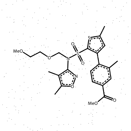 COCCOCN(c1noc(C)c1C)S(=O)(=O)c1sc(C)cc1-c1ccc(C(=O)OC)cc1C